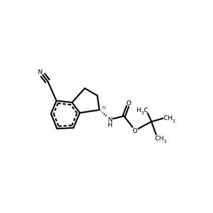 CC(C)(C)OC(=O)N[C@H]1CCc2c(C#N)cccc21